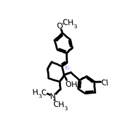 COc1ccc(/C=C2\CCCC(CN(C)C)C2(O)Cc2cccc(Cl)c2)cc1